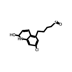 O=[S+]CCCCc1cc(Cl)cc2c1C=CC(O)N2